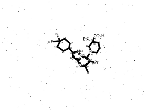 CC[C@]1(C(=O)O)CCCN(c2c(C(C)C)c(C)nc3cc(C4CCC(F)(F)CC4)nn23)C1